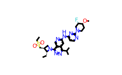 CC[C@@H]1[C@@H](CS(=O)(=O)CC)CN1c1nnc(C(C)C)c2cc(Nc3ccnc(N4CC[C@@H](OC)[C@@H](F)C4)n3)ncc12